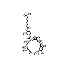 C=CC[C@@H]1/C=C(\C)C[C@H](C)C[C@H](OC)C2O[C@@](O)(C(=O)C(=O)N3CCCC[C@H]3[C@H](O)O[C@H](/C(C)=C/[C@@H]3CC[C@@H](OC(=O)CCCCCCC(=O)O)[C@H](OC)C3)[C@H](C)[C@@H](O)C[C@H]1O)[C@H](C)C[C@@H]2OC